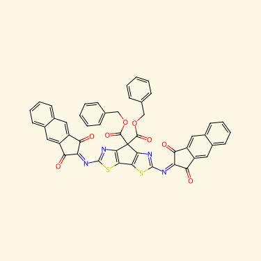 O=C(OCc1ccccc1)C1(C(=O)OCc2ccccc2)c2nc(N=c3c(=O)c4cc5ccccc5cc4c3=O)sc2-c2sc(N=c3c(=O)c4cc5ccccc5cc4c3=O)nc21